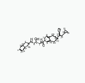 O=C(NCC(O)CNC1Cc2ccccc2C1)C1C=C2CCN(C(=O)CC3CC3)CC2=CC1